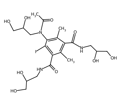 CC(=O)N(CC(O)CO)c1c(C)c(C(=O)NCC(O)CO)c(C)c(C(=O)NCC(O)CO)c1I